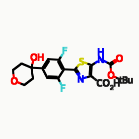 CC(C)(C)OC(=O)Nc1sc(-c2c(F)cc(C3(O)CCOCC3)cc2F)nc1C(=O)O